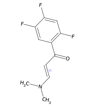 CN(C)/C=C/C(=O)c1cc(F)c(F)cc1F